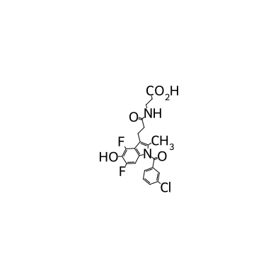 Cc1c(CCC(=O)NCCC(=O)O)c2c(F)c(O)c(F)cc2n1C(=O)c1cccc(Cl)c1